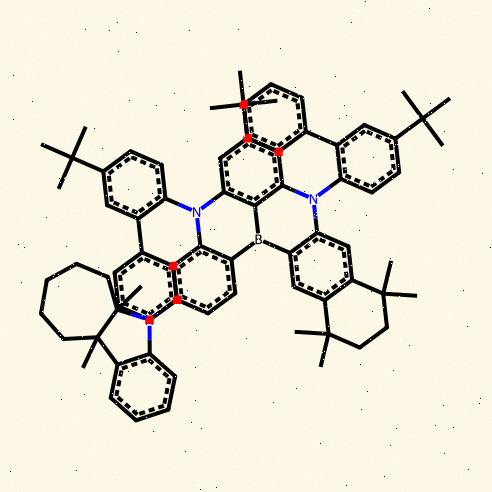 CC(C)(C)c1ccc(N2c3cc(N4c5ccccc5C5(C)CCCCCC45C)ccc3B3c4cc5c(cc4N(c4ccc(C(C)(C)C)cc4-c4ccccc4)c4cc(C(C)(C)C)cc2c43)C(C)(C)CCC5(C)C)c(-c2ccccc2)c1